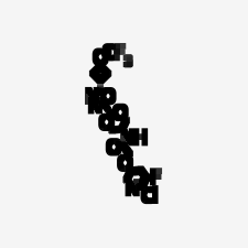 O=C(COc1cnc(Cl)c(F)c1)N[C@H]1CO[C@H](c2nnc([C@H]3C[C@@H](OC(F)(F)F)C3)o2)OC1